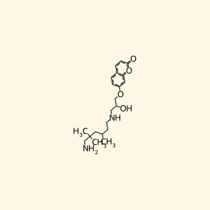 CC(CCNCC(O)COc1ccc2ccc(=O)oc2c1)CC(C)(C)CN